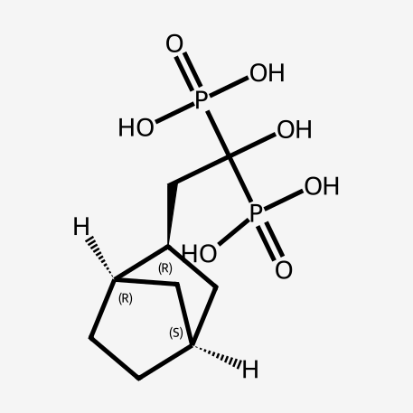 O=P(O)(O)C(O)(C[C@H]1C[C@H]2CC[C@@H]1C2)P(=O)(O)O